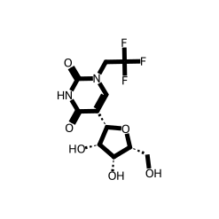 O=c1[nH]c(=O)n(CC(F)(F)F)cc1[C@@H]1O[C@H](CO)[C@H](O)[C@@H]1O